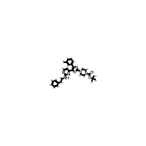 Cc1cccc(-c2nc(N3CCN(C(=O)OC(C)(C)C)CC3)sc2-c2ccnc(NCCc3ccccc3)n2)c1